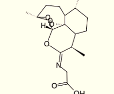 C[C@@H]1CCC2[C@@H](C)/C(=N\CC(=O)O)O[C@@H]3O[C@]4(C)CCC1[C@@]23OO4